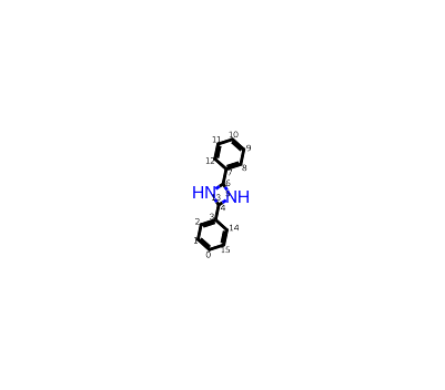 c1ccc(C2NC(c3ccccc3)N2)cc1